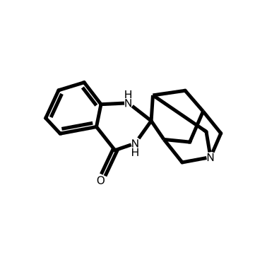 O=C1NC2(Nc3ccccc31)C1CC3CC2CN(C3)C1